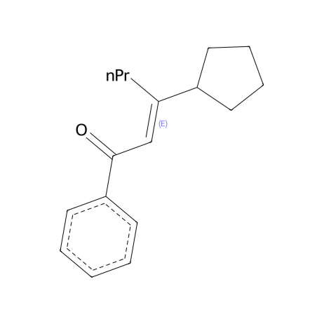 CCC/C(=C\C(=O)c1ccccc1)C1CCCC1